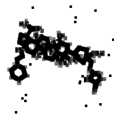 C=C(C)[C@@H]1CC[C@]2(NCCN3CCSCC3)CC[C@]3(C)[C@H](CC[C@@H]4[C@@H]5[C@@H](CC[C@]43C)C(C)(C)C(C3=CCC(COc4nsc(=O)[nH]4)(C(=O)O)CC3)=C[C@@H]5C)[C@@H]12